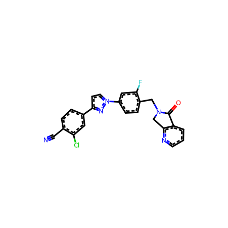 N#Cc1ccc(-c2ccn(-c3ccc(CN4Cc5ncccc5C4=O)c(F)c3)n2)cc1Cl